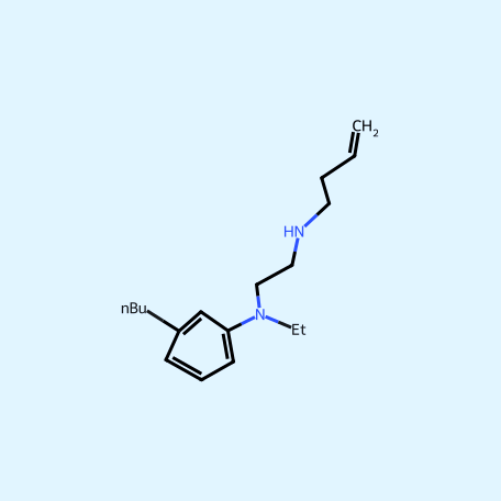 C=CCCNCCN(CC)c1cccc(CCCC)c1